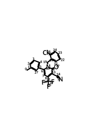 Cc1cccc(-c2cc(C(F)(F)F)c(C#N)c(=O)n2Cc2ccccc2Cl)c1